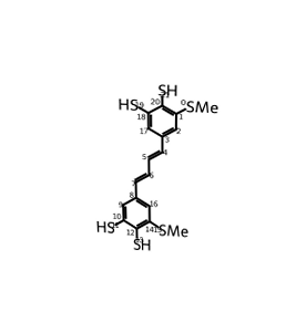 CSc1cc(/C=C/C=C/c2cc(S)c(S)c(SC)c2)cc(S)c1S